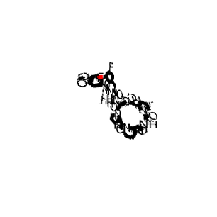 C[C@H]1C[C@H]2C(=O)O[C@@H](C)[C@H](NC(=O)[C@H](Cc3cc(F)cc(F)c3)NC(=O)Nc3ccc4c(c3)OCO4)C(=O)N3CCC[C@H]3C(=O)N3CCCC[C@H]3C(=O)N[C@@H](C)C(=O)N2C1